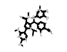 COC(=O)c1cc(-c2cnc(OC)nc2OC)n(C(C)C)c1C(Nc1cc(Cl)c(=O)n(C)c1)c1ccc(C#N)c(F)c1